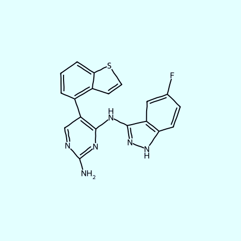 Nc1ncc(-c2cccc3sccc23)c(Nc2n[nH]c3ccc(F)cc23)n1